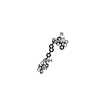 COC(=O)N[C@H](C(=O)N1CCC[C@H]1C1=NCC(c2ccc(-c3ccc4cc(-c5cnc([C@@H]6C[C@H](C#N)CN6C(=O)[C@H](NC(=O)OC)c6ccccc6)[nH]5)ccc4c3)cc2)N1)C(C)C